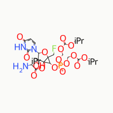 CC(C)OC(=O)OCOP(=O)(OCOC(=O)OC(C)C)OC1C2(CF)OC(n3ccc(=O)[nH]c3=O)C(C)(O)C12OC(=O)C(N)C(C)C